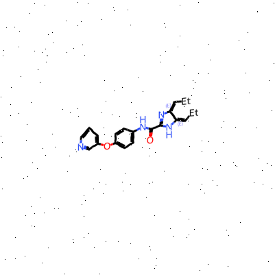 CC/C=c1/nc(C(=O)Nc2ccc(Oc3cccnc3)cc2)[nH]/c1=C/CC